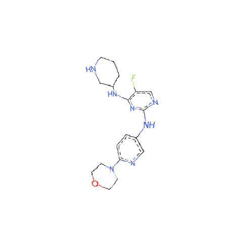 Fc1cnc(Nc2ccc(N3CCOCC3)nc2)nc1NC1CCCNC1